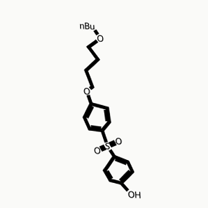 CCCCOCCCCOc1ccc(S(=O)(=O)c2ccc(O)cc2)cc1